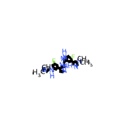 CN(C)CCNc1cc(F)cc(-c2ccnc3[nH]c(-c4n[nH]c5cc(F)c(-c6cncc(N(C)C)c6)cc45)nc23)c1